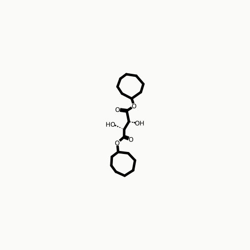 O=C(OC1CCCCCCC1)[C@H](O)[C@@H](O)C(=O)OC1CCCCCCC1